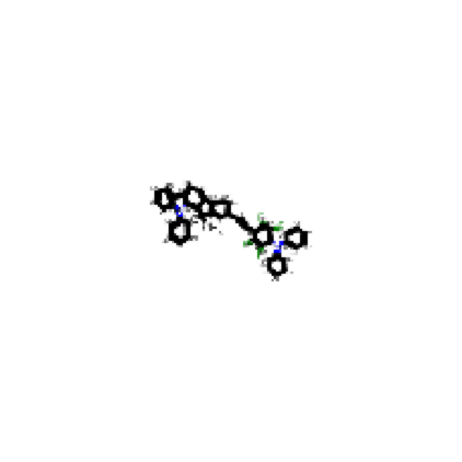 CC1(C)c2cc(C#Cc3c(F)c(F)c(N(c4ccccc4)c4ccccc4)c(F)c3F)ccc2-c2ccc3c4ccccc4n(-c4ccccc4)c3c21